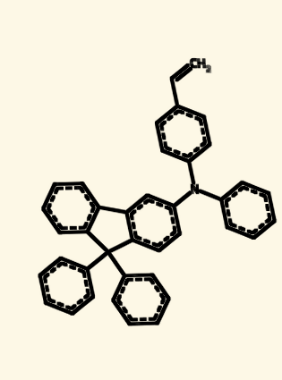 C=Cc1ccc(N(c2ccccc2)c2ccc3c(c2)-c2ccccc2C3(c2ccccc2)c2ccccc2)cc1